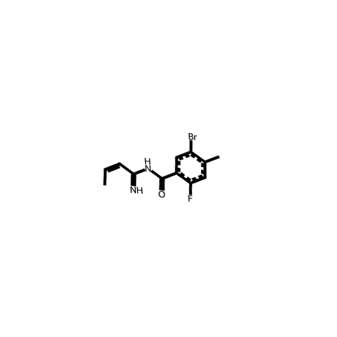 C/C=C\C(=N)NC(=O)c1cc(Br)c(C)cc1F